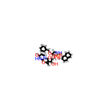 C[C@H](NP(=O)(OC[C@H]1O[C@@H](n2ccc(=O)[nH]c2=O)C2(CC2)[C@@H]1O)Oc1cccc2ccccc12)C(=O)OCc1ccccc1